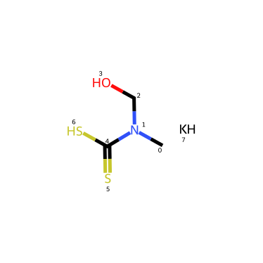 CN(CO)C(=S)S.[KH]